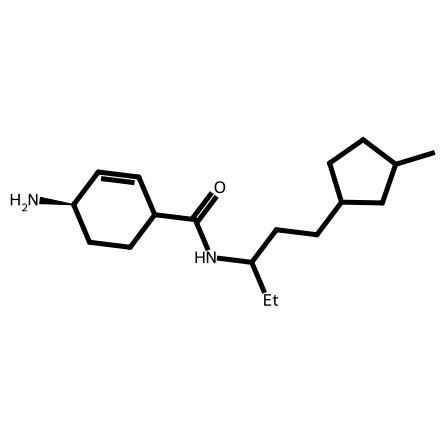 CCC(CCC1CCC(C)C1)NC(=O)C1C=C[C@H](N)CC1